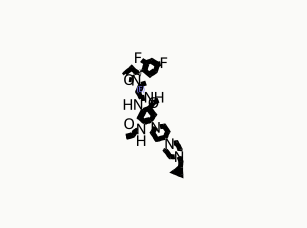 C=CC(=O)Nc1cc(NC(=N)/C=C(\C)N2OCC[C@@H]2c2ccc(F)cc2F)c(OC)cc1N1CCC(N2CCN(CC3CC3)CC2)CC1